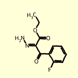 CCOC(=O)/C(=N\N)C(=O)c1ccccc1F